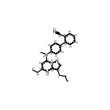 CCCc1cnn2c(N(C)c3ccc(-c4ccccc4C#N)cc3)cc(CC)nc12